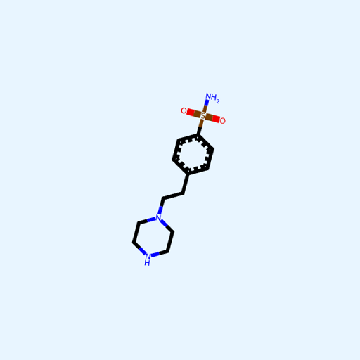 NS(=O)(=O)c1ccc(CCN2CCNCC2)cc1